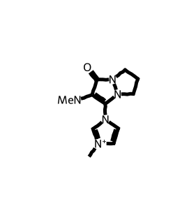 CNc1c(-n2cc[n+](C)c2)n2n(c1=O)CCC2